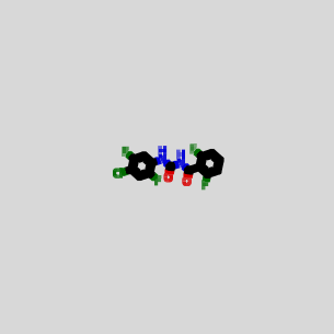 O=C(NC(=O)c1c(F)cccc1F)Nc1cc(F)c(Cl)cc1F